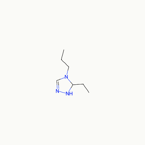 CCCN1C=NNC1CC